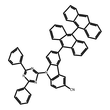 N#Cc1ccc2c(c1)c1cc(-c3c4ccccc4c(-c4c5ccccc5cc5ccccc45)c4ccccc34)ccc1n2-c1nc(-c2ccccc2)nc(-c2ccccc2)n1